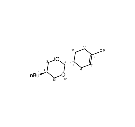 CCCC[C@H]1CO[C@H](C2CC=C(F)CC2)OC1